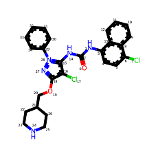 O=C(Nc1ccc(Cl)c2ccccc12)Nc1c(Cl)c(OCC2CCNCC2)nn1-c1ccccc1